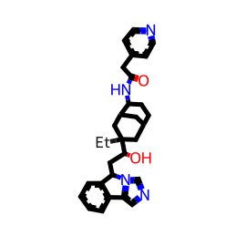 CCC1(C(O)CC2c3ccccc3-c3cncn32)CC2CCC(NC(=O)Cc3ccncc3)C(C2)C1